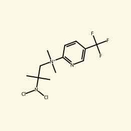 CC(C)(C[N+](C)(C)c1ccc(C(F)(F)F)cn1)N(Cl)Cl